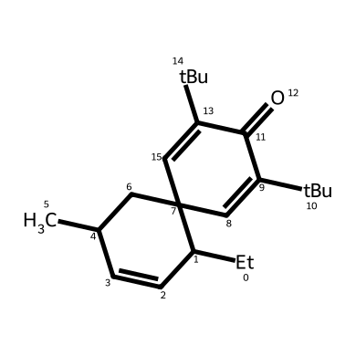 CCC1C=CC(C)CC12C=C(C(C)(C)C)C(=O)C(C(C)(C)C)=C2